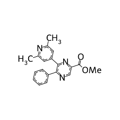 COC(=O)c1cnc(-c2ccccc2)c(-c2cc(C)nc(C)c2)n1